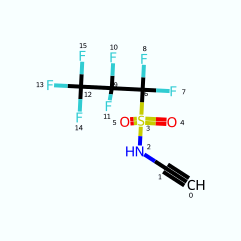 C#CNS(=O)(=O)C(F)(F)C(F)(F)C(F)(F)F